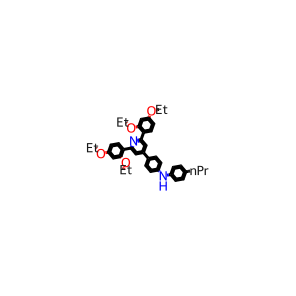 CCCc1ccc(Nc2ccc(-c3cc(-c4ccc(OCC)cc4OCC)nc(-c4ccc(OCC)cc4OCC)c3)cc2)cc1